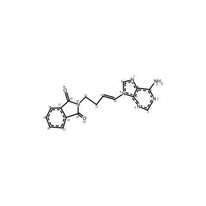 Nc1ncnc2c1ncn2/C=C/CCN1C(=O)c2ccccc2C1=O